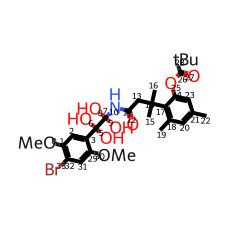 COc1cc(C(O)(O)C(O)(O)NC(=O)CC(C)(C)c2c(C)cc(C)cc2OC(=O)C(C)(C)C)c(OC)cc1Br